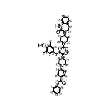 Cc1cc(C[C@@H](OC(=O)N2CCC(N3CCc4ccccc4NC3=O)CC2)C(=O)N2CCN(c3ccc(C(=O)Oc4ccccc4)cn3)CC2)cc(C)c1O